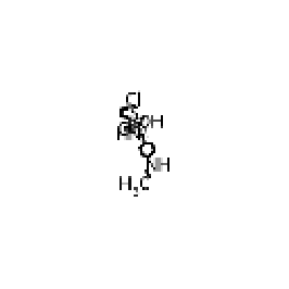 CCCNC1CCC([C@@H](CO)NS(=O)(=O)c2ccc(Cl)s2)CC1